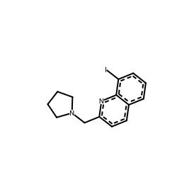 Ic1cccc2ccc(CN3CCCC3)nc12